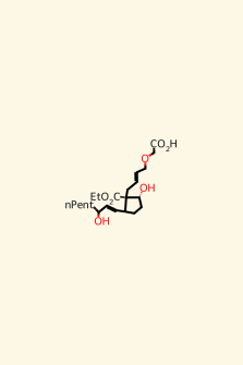 CCCCCC(O)C=CC1CC[C@@H](O)[C@]1(C/C=C/COCC(=O)O)C(=O)OCC